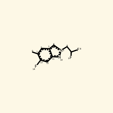 Cc1cc2cn(CC(F)F)nc2cc1F